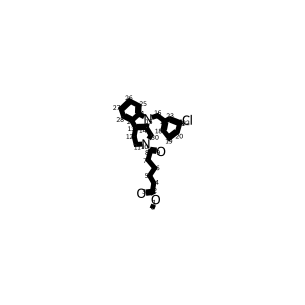 COC(=O)CCCCC(=O)N1CCc2c(n(Cc3cccc(Cl)c3)c3ccccc23)C1